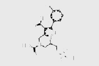 CS(=O)(=O)OCC1CN(C(=O)O)Cc2c(C(N)=O)c(-c3cccc(Cl)c3)nn21